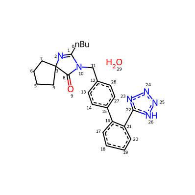 CCCCC1=NC2(CCCC2)C(=O)N1Cc1ccc(-c2ccccc2-c2nnn[nH]2)cc1.O